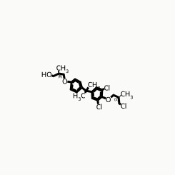 C[C@H](CO)COc1ccc(C(C)(C)c2cc(Cl)c(OC[C@H](C)CCl)c(Cl)c2)cc1